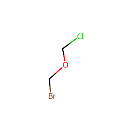 ClCOCBr